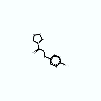 O=C(OCc1ccc(C(F)(F)F)cc1)N1CCCC1